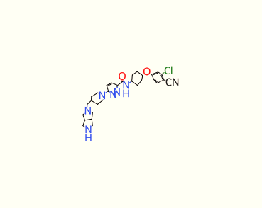 N#Cc1ccc(O[C@H]2CC[C@H](NC(=O)c3ccc(N4CCC(CN5CC6CNCC6C5)CC4)nn3)CC2)cc1Cl